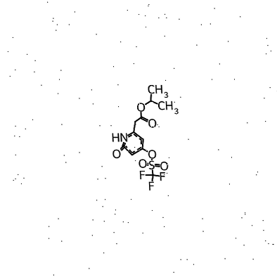 CC(C)OC(=O)Cc1cc(OS(=O)(=O)C(F)(F)F)cc(=O)[nH]1